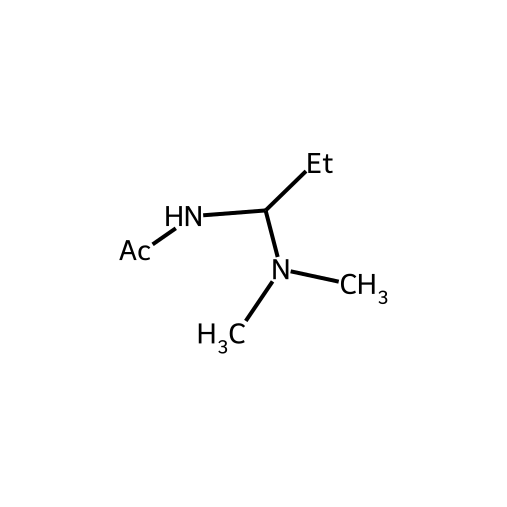 CCC(NC(C)=O)N(C)C